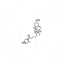 C[C@H](CCC(=O)N1CCNC[C@@H]1C)[C@H]1CC[C@H]2[C@@H]3CC=C4C[C@@H](O)CC[C@]4(C)[C@H]3CC[C@]12C